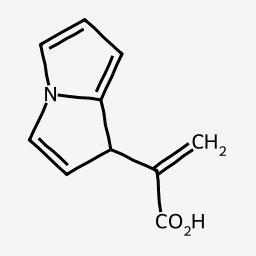 C=C(C(=O)O)C1C=Cn2cccc21